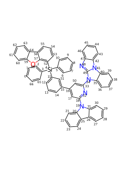 c1ccc([Si](c2ccccc2)(c2cccc(-c3cc(-n4c5ccccc5c5ccccc54)nc(-n4c5ccccc5n5c6ccccc6nc45)c3)c2)c2cccc3c2oc2ccccc23)cc1